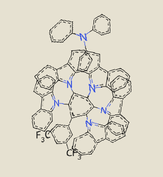 FC(F)(F)c1cc(-c2c(-n3c4ccccc4c4ccccc43)c(-n3c4ccccc4c4ccccc43)c(-n3c4ccccc4c4cc(N(c5ccccc5)c5ccccc5)ccc43)c(-n3c4ccccc4c4ccccc43)c2-n2c3ccccc3c3ccccc32)cc(C(F)(F)F)c1